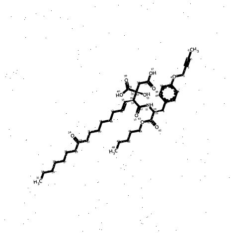 CC#CCOc1ccc(C[C@H](NC(=O)[C@@H](C=CCCCCCCC(=O)CCCCCCC)[C@@](O)(CC(=O)O)C(=O)O)C(=O)OCCCCC)cc1